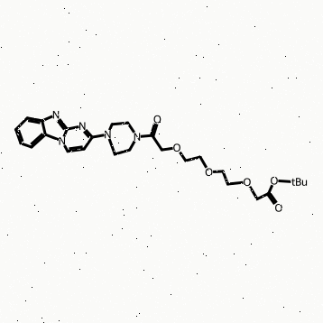 CC(C)(C)OC(=O)COCCOCCOCC(=O)N1CCN(c2ccn3c(n2)nc2ccccc23)CC1